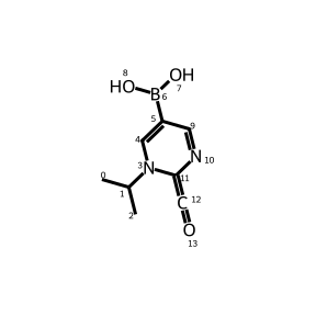 CC(C)N1C=C(B(O)O)C=NC1=C=O